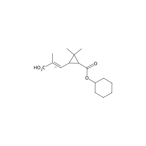 C/C(=C\C1C(C(=O)OC2CCCCC2)C1(C)C)C(=O)O